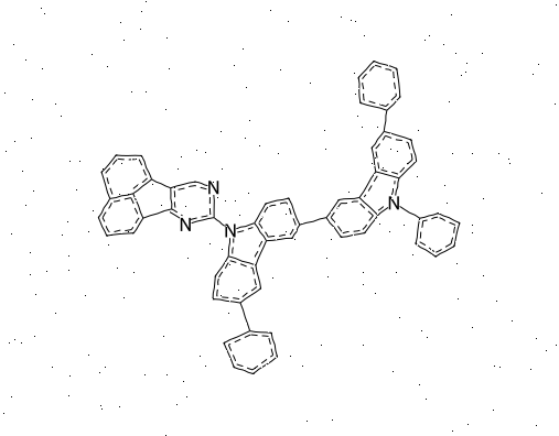 c1ccc(-c2ccc3c(c2)c2cc(-c4ccc5c(c4)c4cc(-c6ccccc6)ccc4n5-c4ncc5c(n4)-c4cccc6cccc-5c46)ccc2n3-c2ccccc2)cc1